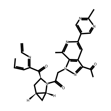 C=C/N=C(\C=C/C)C(=O)[C@@H]1C[C@H]2C[C@H]2N1C(=O)Cn1nc(C(C)=O)c2cc(-c3cnc(C)nc3)nc(C)c21